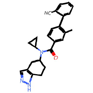 Cc1cc(C(=O)N(C2CC2)C2CCc3[nH]ncc3C2)ccc1-c1ccccc1C#N